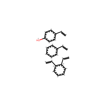 C=Cc1ccc(O)cc1.C=Cc1ccccc1.C=Cc1ccccc1C=C